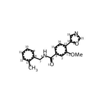 COc1cc(C(=O)NCc2ccccc2C)ccc1-c1cnco1